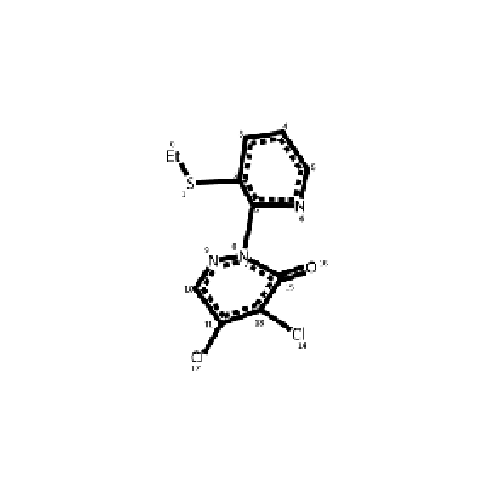 CCSc1cccnc1-n1ncc(Cl)c(Cl)c1=O